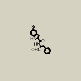 O=CC(Cc1ccccc1)NC(=O)c1cc2cc(Br)ccc2[nH]1